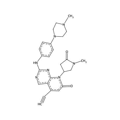 C#Cc1cc(=O)n(C2CC(=O)N(C)C2)c2nc(Nc3ccc(N4CCN(C)CC4)cc3)ncc12